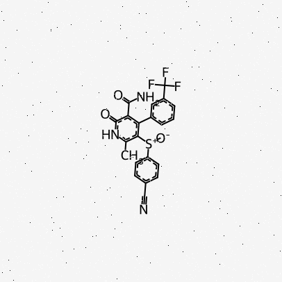 Cc1[nH]c(=O)c(C(N)=O)c(-c2cccc(C(F)(F)F)c2)c1[S+]([O-])c1ccc(C#N)cc1